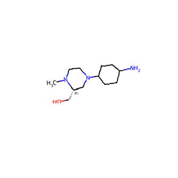 CN1CCN(C2CCC(N)CC2)C[C@@H]1CO